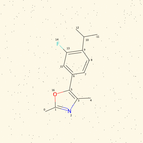 Cc1nc(C)c(-c2ccc(C(C)C)c(F)c2)o1